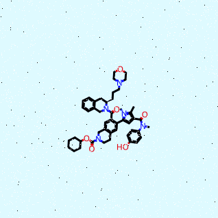 Cc1c(C(=O)N(C)c2ccc(O)cc2)cc(-c2cc3c(cc2C(=O)N2Cc4ccccc4C[C@H]2CCCN2CCOCC2)CN(C(=O)OC2CCCCC2)CC3)n1C